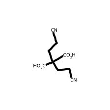 N#CCCC(CCC#N)(C(=O)O)C(=O)O